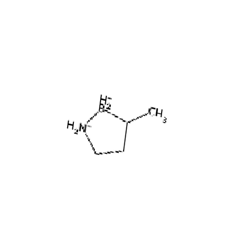 CC1[BH2-][NH2+]CC1